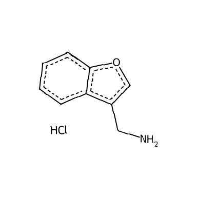 Cl.NCc1coc2ccccc12